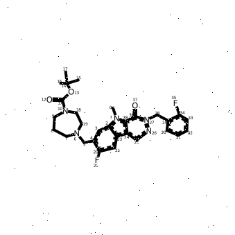 Cn1c2cc(CN3CCCN(C(=O)OC(C)(C)C)CC3)c(F)cc2c2cnn(Cc3ccccc3F)c(=O)c21